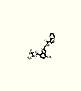 Cc1ccc(C(=O)OC(C)C(F)(F)F)c2oc(CNC(=O)c3cnn4cccnc34)cc12